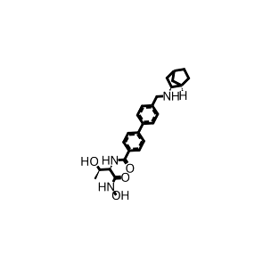 C[C@@H](O)[C@H](NC(=O)c1ccc(-c2ccc(CN[C@@H]3CC4CC[C@@H]3C4)cc2)cc1)C(=O)NO